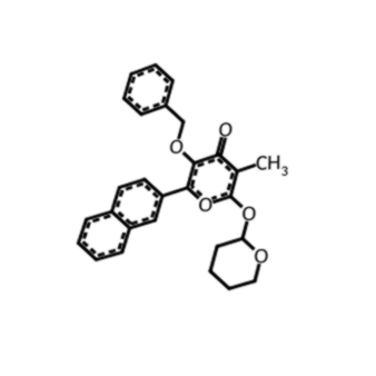 Cc1c(OC2CCCCO2)oc(-c2ccc3ccccc3c2)c(OCc2ccccc2)c1=O